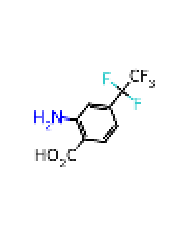 Nc1cc(C(F)(F)C(F)(F)F)ccc1C(=O)O